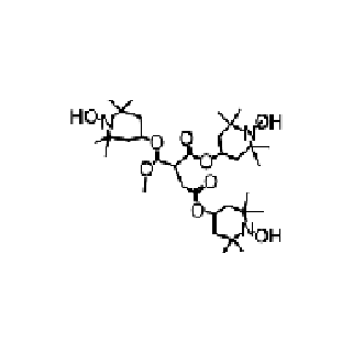 COC(OC1CC(C)(C)N(O)C(C)(C)C1)C(CC(=O)OC1CC(C)(C)N(O)C(C)(C)C1)C(=O)OC1CC(C)(C)N(O)C(C)(C)C1